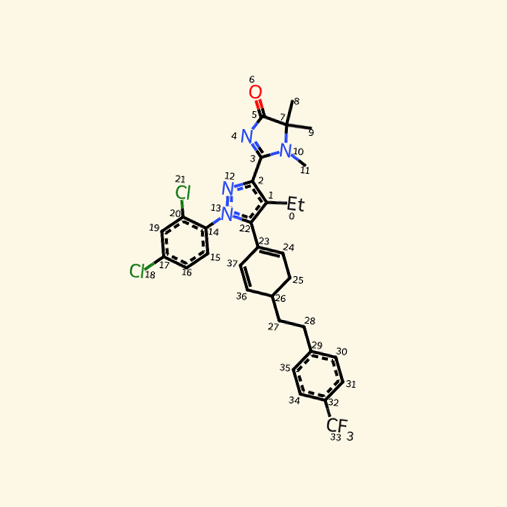 CCc1c(C2=NC(=O)C(C)(C)N2C)nn(-c2ccc(Cl)cc2Cl)c1C1=CCC(CCc2ccc(C(F)(F)F)cc2)C=C1